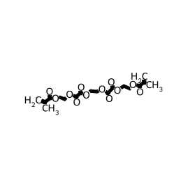 C=C(C)C(=O)OCCOC(=O)C(=O)OCCOC(=O)C(=O)OCCOC(=O)C(=C)C